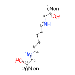 CCCCCCCCCC(O)CNCCCCCCNCC(O)CCCCCCCCC